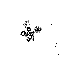 NC(=O)COc1cccc(S(=O)(=O)N(C[C@@H](O)[C@H](Cc2ccccc2)NC(=O)OC2CO[C@H]3OCC[C@@H]23)OC2CCCCC2)c1